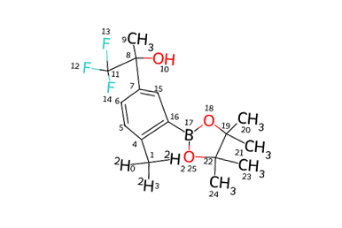 [2H]C([2H])([2H])c1ccc(C(C)(O)C(F)(F)F)cc1B1OC(C)(C)C(C)(C)O1